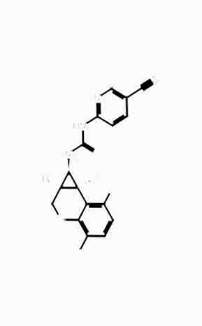 N#Cc1ccc(NC(=O)N[C@@H]2[C@@H]3COc4c(Cl)ccc(Cl)c4[C@@H]32)nc1